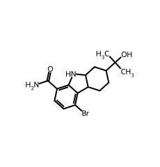 CC(C)(O)C1CCC2c3c(Br)ccc(C(N)=O)c3NC2C1